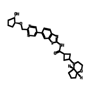 O=C(Nc1nc2ccc(-c3cnc(CO[C@H]4CCC[C@@H]4O)nc3)cc2s1)C1CC(N2CCO[C@@H]3CCC[C@@H]32)C1